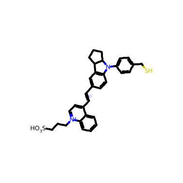 O=S(=O)(O)CCC[n+]1ccc(/C=C/c2ccc3c(c2)C2CCCC2N3c2ccc(CS)cc2)c2ccccc21